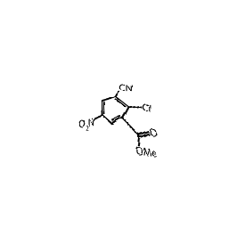 COC(=O)c1cc([N+](=O)[O-])cc(C#N)c1Cl